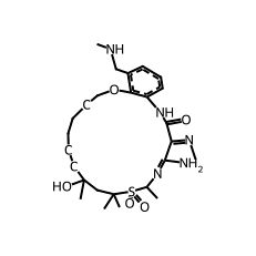 C/N=C1C(=O)Nc2cccc(CNC)c2OCCCCCCC(C)(O)CC(C)(C)S(=O)(=O)C(C)\N=C/1N